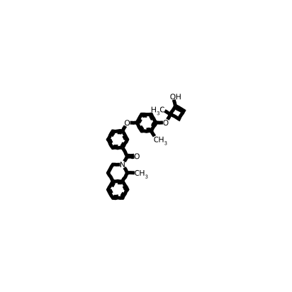 Cc1cc(Oc2cccc(C(=O)N3CCc4ccccc4C3C)c2)ccc1OC1(C)CC=C1O